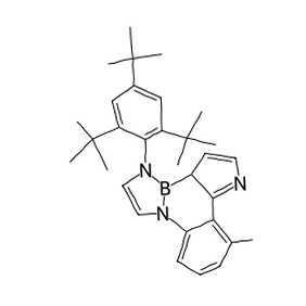 Cc1cccc2c1C1=NC=CC1B1N2C=CN1c1c(C(C)(C)C)cc(C(C)(C)C)cc1C(C)(C)C